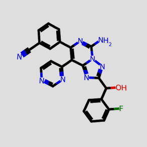 N#Cc1cccc(-c2nc(N)n3nc(C(O)c4ccccc4F)nc3c2-c2ccncn2)c1